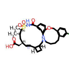 C[C@@H]1[C@@H](C)C[C@H](CC(=O)O)/C=C/[C@@H]2CC[C@H]2CN2CCCCc3cc(Cl)ccc3COc3ccc(cc32)C(=O)NS1(=O)=O